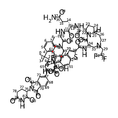 CC(C)(C)c1ccc(C[C@H](NC(=O)[C@H](CCC(N)=O)NC(=O)[C@@H]2CC[C@@H]3CCN(CC(F)F)C[C@H](NC(=O)c4cc5cc(C(F)(F)P(=O)(O)O)ccc5s4)C(=O)N32)C(=O)N2CCC(N3CCN(c4ccc5c(c4)C(=O)N(C4CCC(=O)NC4=O)C5=O)CC3)CC2)cc1